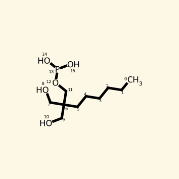 CCCCCCC(CO)(CO)COP(O)O